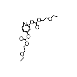 CCOCCOC(=O)Oc1ccnc(OC(=O)OCCOCC)c1